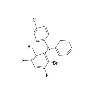 Fc1cc(F)c(Br)c(N(c2ccccc2)c2ccc(Cl)cc2)c1Br